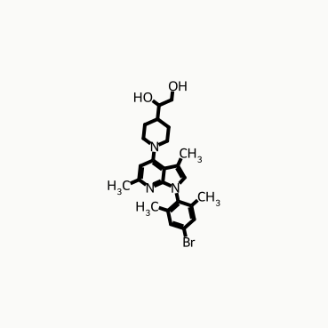 Cc1cc(N2CCC(C(O)CO)CC2)c2c(C)cn(-c3c(C)cc(Br)cc3C)c2n1